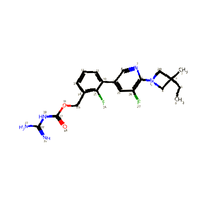 CCC1(C)CN(c2ncc(-c3cccc(COC(=O)NC(=N)N)c3F)cc2F)C1